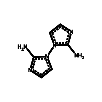 Nc1nccn1-n1ccnc1N